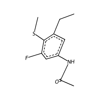 CCc1cc(NC(C)=O)cc(F)c1SC